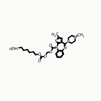 CCCCCCCCCCCCCCCCOC(=O)OCOC(=O)N1c2ccccc2N=C(N2CCN(C)CC2)c2cc(C)sc21